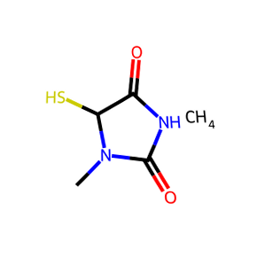 C.CN1C(=O)NC(=O)C1S